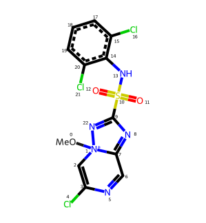 CO[N+]12C=C(Cl)N=CC1=NC(S(=O)(=O)Nc1c(Cl)cccc1Cl)=N2